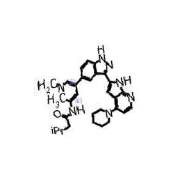 C=N/C=C(\C=C(/C)NC(=O)CC(C)C)c1ccc2[nH]nc(-c3cc4c(N5CCCCC5)ccnc4[nH]3)c2c1